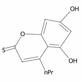 CCCc1cc(=S)oc2cc(O)cc(O)c12